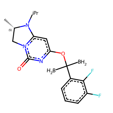 BC(B)(Oc1cc2n(c(=O)n1)C[C@H](C)N2C(C)C)c1cccc(F)c1F